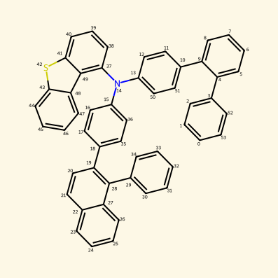 c1ccc(-c2ccccc2-c2ccc(N(c3ccc(-c4ccc5ccccc5c4-c4ccccc4)cc3)c3cccc4sc5ccccc5c34)cc2)cc1